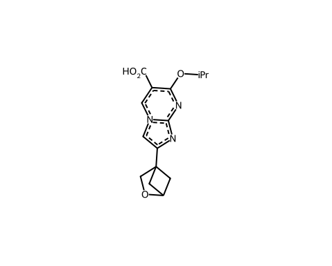 CC(C)Oc1nc2nc(C34COC(C3)C4)cn2cc1C(=O)O